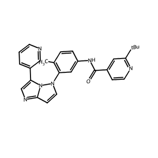 Cc1ccc(NC(=O)c2ccnc(C(C)(C)C)c2)cc1-n1ccc2ncc(-c3cccnc3)n21